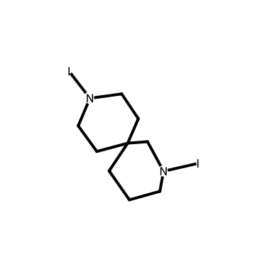 IN1CCC2(CCCN(I)C2)CC1